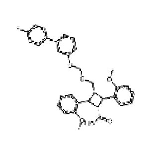 COc1ccccc1C1[C@H](COCOc2cccc(-c3ccc(F)cc3)c2)[C@H](c2ccccc2OC)[C@H]1C(=O)O